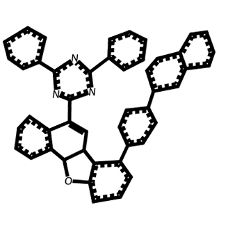 C1=C(c2nc(-c3ccccc3)nc(-c3ccccc3)n2)c2ccccc2C2Oc3cccc(-c4ccc(-c5ccc6ccccc6c5)cc4)c3C12